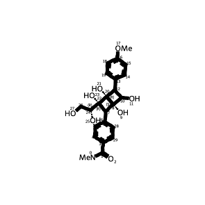 CNC(=O)c1ccc(C2[C@]3(O)C(O)C(c4ccc(OC)cc4)[C@]3(O)[C@]2(O)[C@H](O)CO)cc1